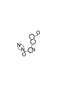 CN1CCN(C(=O)c2ccnc(-c3ccc4c(C=O)cccc4c3)c2)CC1